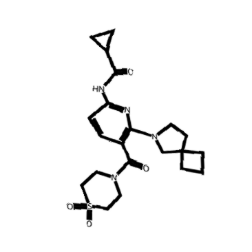 O=C(Nc1ccc(C(=O)N2CCS(=O)(=O)CC2)c(N2CCC3(CCC3)C2)n1)C1CC1